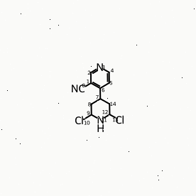 N#Cc1cnccc1C1CC(Cl)NC(Cl)C1